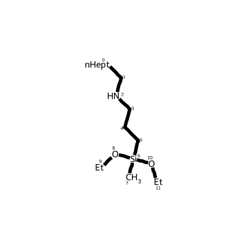 CCCCCCCCNCCC[Si](C)(OCC)OCC